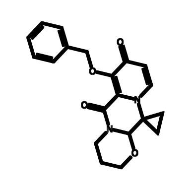 O=C1c2c(OCc3ccccc3)c(=O)ccn2C2(CC2)C2OCCCN12